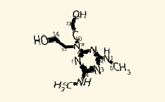 CNc1nc(NC)nc(N(CCO)CCO)n1